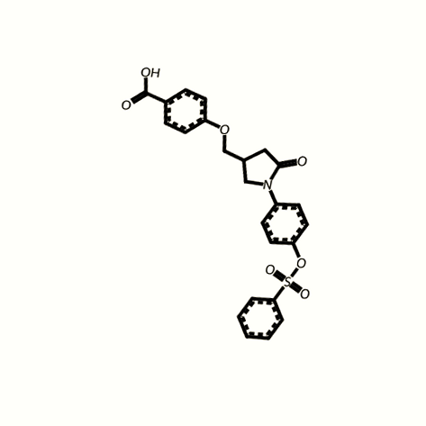 O=C(O)c1ccc(OCC2CC(=O)N(c3ccc(OS(=O)(=O)c4ccccc4)cc3)C2)cc1